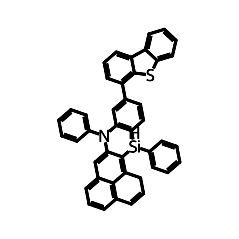 C1=Cc2cccc3cc4c(c(c23)C1)[SiH](c1ccccc1)c1ccc(-c2cccc3c2sc2ccccc23)cc1N4c1ccccc1